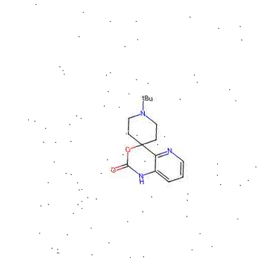 CC(C)(C)N1CCC2(CC1)OC(=O)Nc1cccnc12